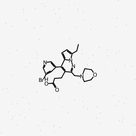 CCc1ccc2c(-c3cncc(Br)c3)c(CCC(=O)O)c(CN3CCOCC3)nn12